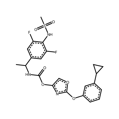 CC(NC(=O)Oc1coc(Oc2cccc(C3CC3)c2)n1)c1cc(F)c(NS(C)(=O)=O)c(F)c1